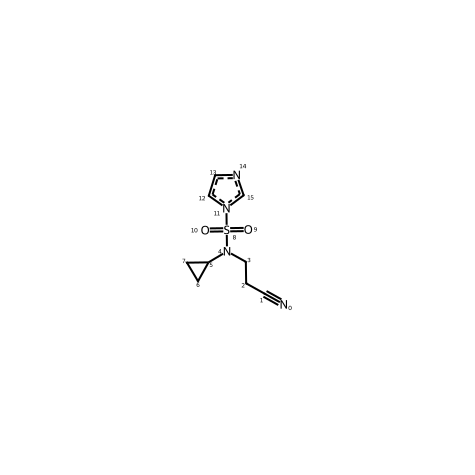 N#CCCN(C1CC1)S(=O)(=O)n1ccnc1